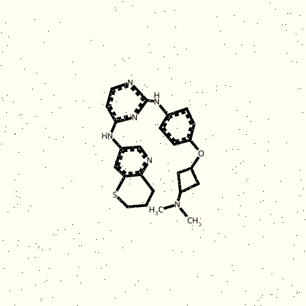 CN(C)C1CC(Oc2ccc(Nc3nccc(Nc4cnc5c(c4)SCCC5)n3)cc2)C1